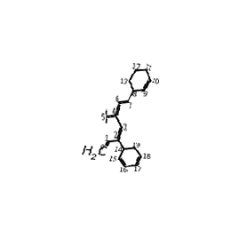 C=C/C(=C\C(I)=C/CC1C=CCCC1)C1C=CC=CC1